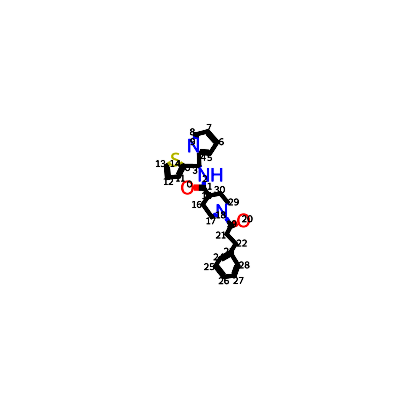 O=C(NC(c1ccccn1)c1cccs1)C1CCN(C(=O)CCc2ccccc2)CC1